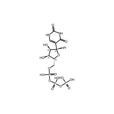 CCC[C@@]1(c2c[nH]c(=O)[nH]c2=O)O[C@H](COP(=O)(O)OP(=O)(O)OP(=O)(O)O)[C@@H](O)[C@H]1O